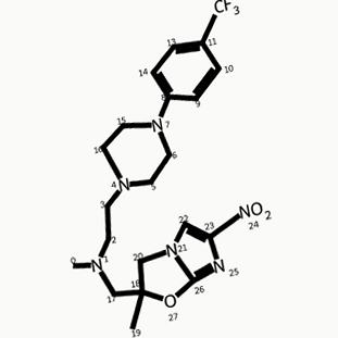 CN(CCN1CCN(c2ccc(C(F)(F)F)cc2)CC1)CC1(C)Cn2cc([N+](=O)[O-])nc2O1